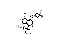 O[C@H]1c2c(C(F)(F)C(F)(F)F)ncc(OC3CC(F)(F)C3)c2[C@@H](F)[C@H]1F